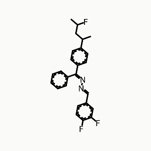 CC(F)CC(C)c1ccc(C(=NN=Cc2ccc(F)c(F)c2)c2ccccc2)cc1